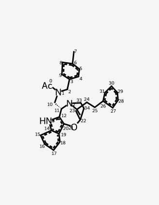 CC(=O)N(Cc1ccc(C)cc1)C[C@H]1c2[nH]c3ccccc3c2OC2=C(CCc3ccccc3)N1CC2